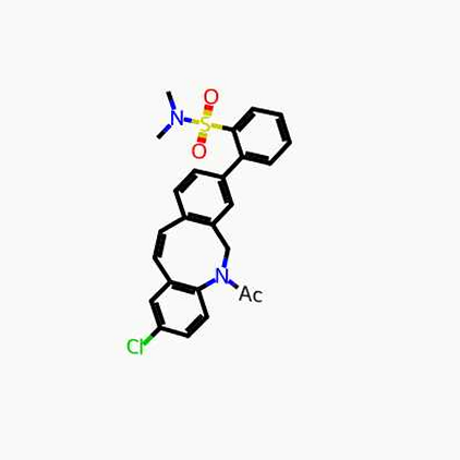 CC(=O)N1Cc2cc(-c3ccccc3S(=O)(=O)N(C)C)ccc2C=Cc2cc(Cl)ccc21